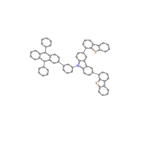 c1ccc(-c2c3ccccc3c(-c3ccccc3)c3cc(-c4cccc(-n5c6ccc(-c7cccc8c7sc7ccccc78)cc6c6cc(-c7cccc8c7sc7ccccc78)ccc65)c4)ccc23)cc1